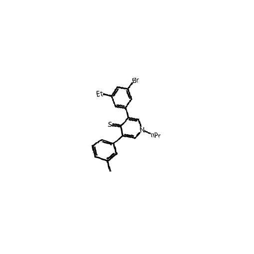 CCCn1cc(-c2cccc(C)c2)c(=S)c(-c2cc(Br)cc(CC)c2)c1